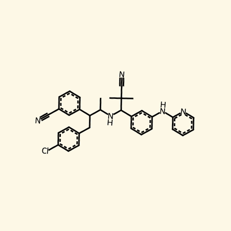 CC(NC(c1cccc(Nc2ccccn2)c1)C(C)(C)C#N)C(Cc1ccc(Cl)cc1)c1cccc(C#N)c1